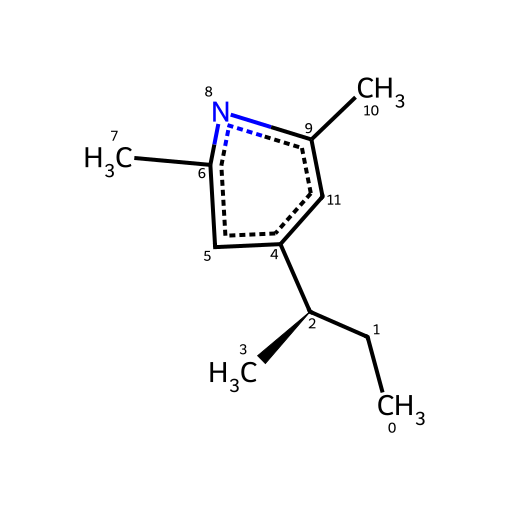 CC[C@@H](C)c1cc(C)nc(C)c1